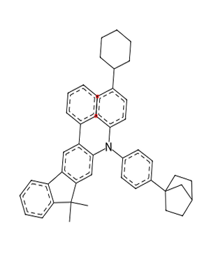 CC1(C)c2ccccc2-c2cc(-c3ccccc3)c(N(c3ccc(C4CCCCC4)cc3)c3ccc(C45CCC(CC4)C5)cc3)cc21